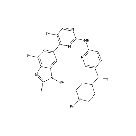 CCN1CCC([C@@H](F)c2ccc(Nc3ncc(F)c(-c4cc(F)c5nc(C)n(C(C)C)c5c4)n3)nc2)CC1